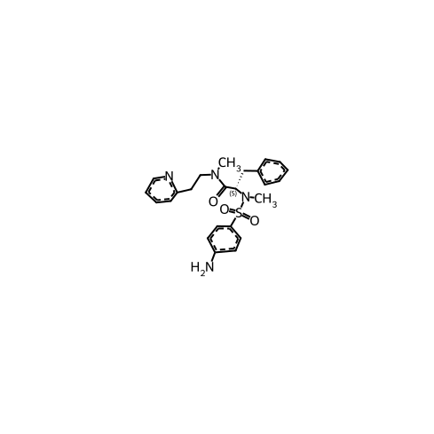 CN(CCc1ccccn1)C(=O)[C@H](Cc1ccccc1)N(C)S(=O)(=O)c1ccc(N)cc1